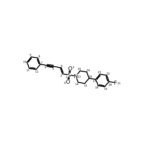 O=S(=O)(C=CC#Cc1ccccc1)N1CCC(c2ccc(F)cc2)CC1